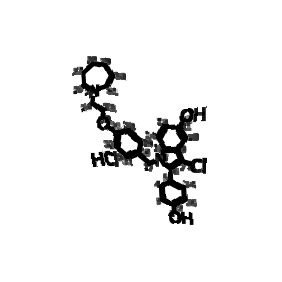 Cl.Oc1ccc(-c2c(Cl)c3cc(O)ccc3n2Cc2ccc(OCCN3CCCCCC3)cc2)cc1